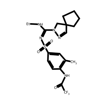 CCN/C(=N/S(=O)(=O)c1ccc(NC(=O)C(F)(F)F)c(C)c1)N1CC2(C=N1)CCCC2